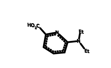 CCN(CC)c1cccc(C(=O)O)n1